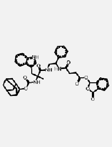 CC(Cc1c[nH]c2ccccc12)(NC(=O)OC1C2CC3CC(C2)CC1C3)C(=O)NCC(NC(=O)CCC(=O)OC1OC(=O)c2ccccc21)c1ccccc1